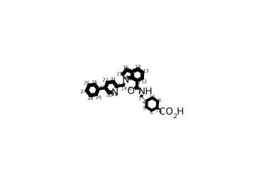 O=C(NC[C@H]1CC[C@H](C(=O)O)CC1)c1cccc2ccn(Cc3ccc(-c4ccccc4)cn3)c12